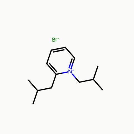 CC(C)Cc1cccc[n+]1CC(C)C.[Br-]